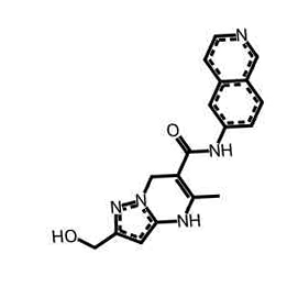 CC1=C(C(=O)Nc2ccc3cnccc3c2)Cn2nc(CO)cc2N1